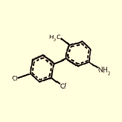 Cc1ccc(N)cc1-c1ccc(Cl)cc1Cl